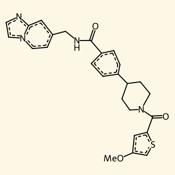 COc1csc(C(=O)N2CCC(c3ccc(C(=O)NCc4ccn5ccnc5c4)cc3)CC2)c1